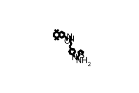 CC1(C)CCC(C)(C)c2cc(-c3nnc(CCc4ccc(/N=C(/N)c5cccs5)cc4)o3)ccc21